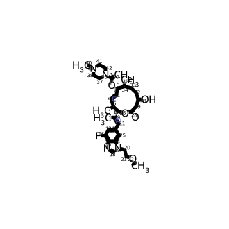 C=C(O[C@H]1/C=C/C(C)[C@@H](/C(C)=C/c2cc(F)c3ncn(CCOC)c3c2)OC(=O)CC(O)CCC1C)N1CCN(C)CC1